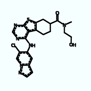 CN(CCO)C(=O)C1CCc2c(sc3ncnc(Nc4cc5ccnn5cc4Cl)c23)C1